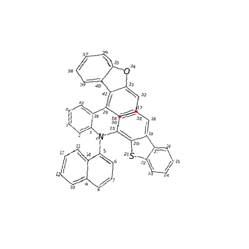 c1ccc(N(c2cccc3ccccc23)c2cccc3c2sc2ccccc23)c(-c2cccc3oc4ccccc4c23)c1